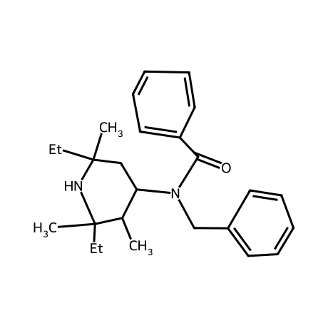 CCC1(C)CC(N(Cc2ccccc2)C(=O)c2ccccc2)C(C)C(C)(CC)N1